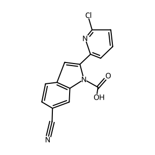 N#Cc1ccc2cc(-c3cccc(Cl)n3)n(C(=O)O)c2c1